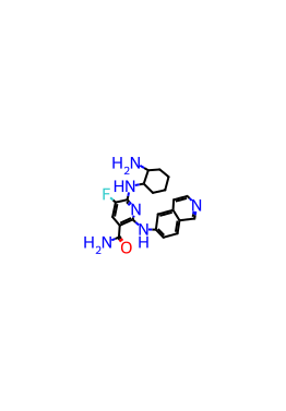 NC(=O)c1cc(F)c(NC2CCCCC2N)nc1Nc1ccc2cnccc2c1